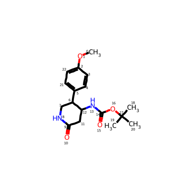 COc1ccc(C2CNC(=O)CC2NC(=O)OC(C)(C)C)cc1